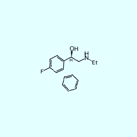 CCNC[C@H](O)c1ccc(F)cc1.c1ccccc1